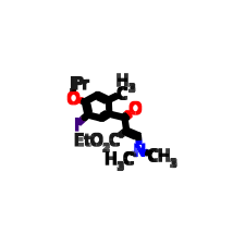 CCOC(=O)/C(=C\N(C)C)C(=O)c1cc(I)c(OC(C)C)cc1C